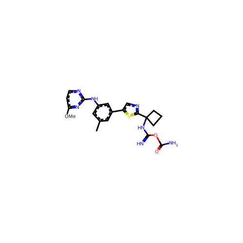 COc1ccnc(Nc2cc(C)cc(-c3cnc(C4(NC(=N)OC(N)=O)CCC4)s3)c2)n1